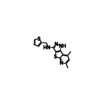 Cc1cc(C)c2c(n1)sc1c(NCc3cccs3)n[nH]c12